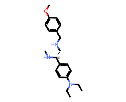 CCN(CC)c1ccc([C@@H](CNCc2ccc(OC)cc2)NC)cc1